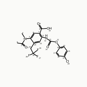 CC(=O)N(C)c1cc(C(=O)O)c(NC(=O)Oc2ccc(Cl)cc2)cc1CC(F)(F)F